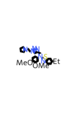 CCc1ccc2nc(N(Cc3cn(CCN4CCCC4)nn3)c3ccc(OC)c(OC)c3)sc2c1